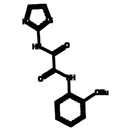 CC(C)COc1ccccc1NC(=O)C(=O)Nc1nccs1